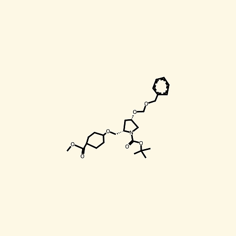 COC(=O)C1CCC(OC[C@@H]2C[C@H](OCOCc3ccccc3)CN2C(=O)OC(C)(C)C)CC1